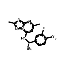 Cc1cc(N[C@@H](c2ccc(C(F)(F)F)c(F)c2)C(C)(C)C)n2nc(C)nc2n1